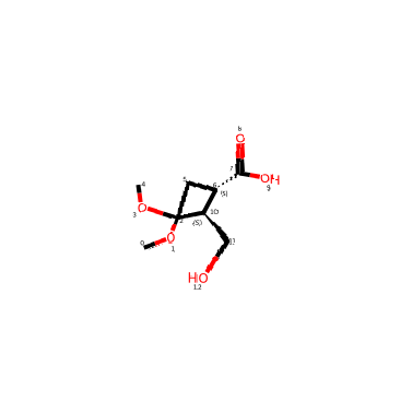 COC1(OC)C[C@H](C(=O)O)[C@H]1CO